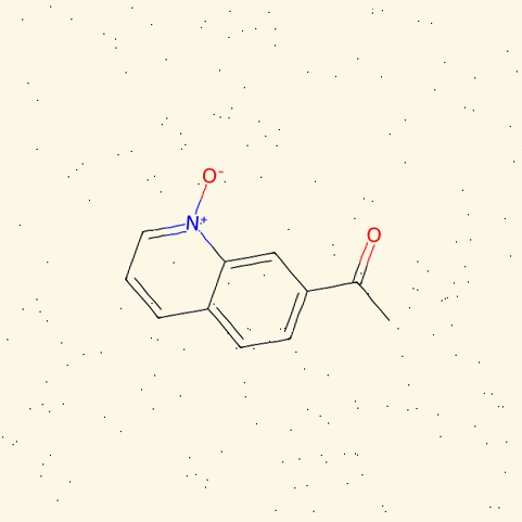 CC(=O)c1ccc2ccc[n+]([O-])c2c1